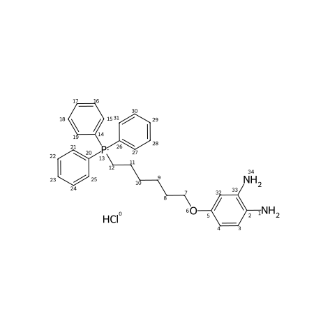 Cl.Nc1ccc(OCCCCCC[P](c2ccccc2)(c2ccccc2)c2ccccc2)cc1N